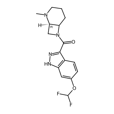 CN1CCCC2[C@H]1CN2C(=O)c1n[nH]c2cc(OC(F)F)ccc12